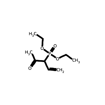 C=CC(C(C)=O)P(=O)(OCC)OCC